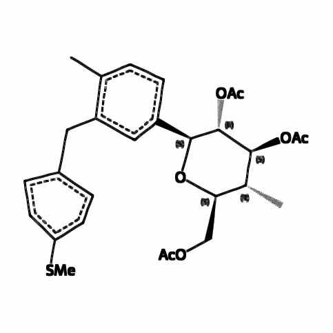 CSc1ccc(Cc2cc([C@@H]3O[C@H](COC(C)=O)[C@@H](C)[C@H](OC(C)=O)[C@H]3OC(C)=O)ccc2C)cc1